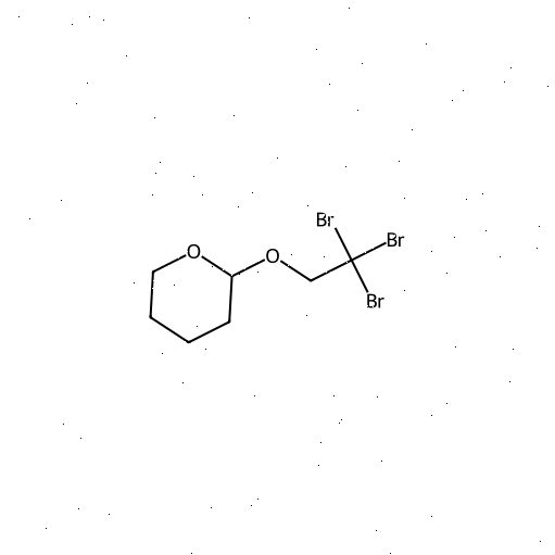 BrC(Br)(Br)COC1CCCCO1